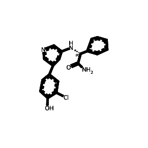 NC(=O)[C@H](Nc1cncc(-c2ccc(O)c(Cl)c2)c1)c1ccccc1